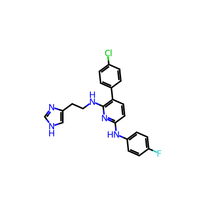 Fc1ccc(Nc2ccc(-c3ccc(Cl)cc3)c(NCCc3c[nH]cn3)n2)cc1